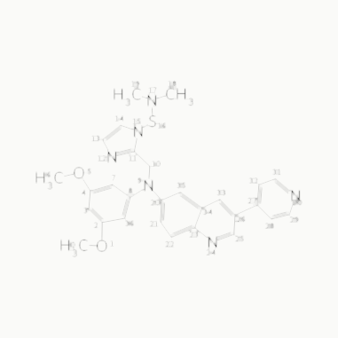 COc1cc(OC)cc(N(Cc2nccn2SN(C)C)c2ccc3ncc(-c4ccncc4)cc3c2)c1